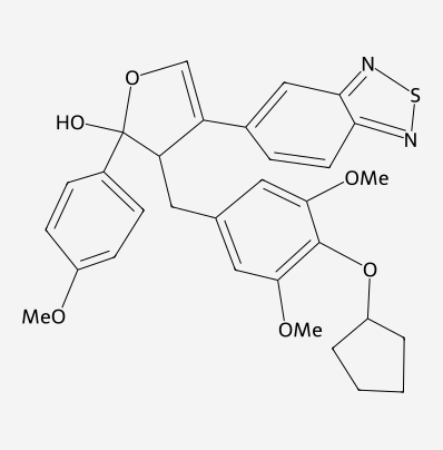 COc1ccc(C2(O)OC=C(c3ccc4nsnc4c3)C2Cc2cc(OC)c(OC3CCCC3)c(OC)c2)cc1